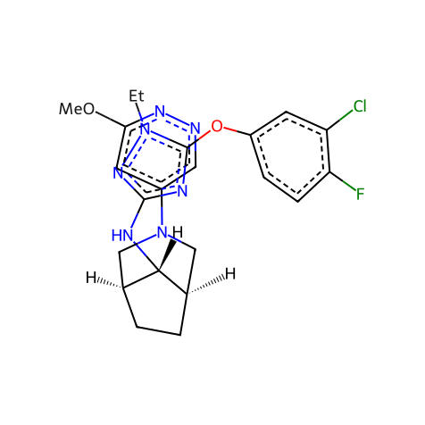 CCn1nc(N[C@@H]2[C@@H]3CC[C@H]2CN(c2cnnc(OC)c2)C3)nc1Oc1ccc(F)c(Cl)c1